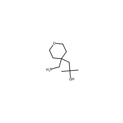 CC(C)(O)CC1(CN)CCOCC1